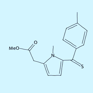 COC(=O)Cc1ccc(C(=S)c2ccc(C)cc2)n1C